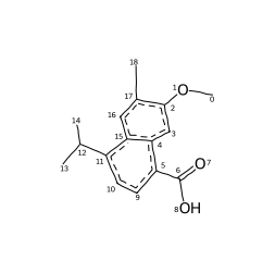 COc1cc2c(C(=O)O)ccc(C(C)C)c2cc1C